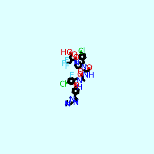 COCC(NC(=O)C(C)NCc1c(F)cc(Cl)cc1Oc1ccc(-c2cnc(CN(C)C)n2C)cc1)C(=O)N(C)C1(Cc2ccc(Cl)cc2)CCCN(C(=O)C(CC(=O)O)CC(F)(F)F)C1